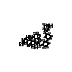 CCc1nc2c(cnn2CC)c(NC2CCOCC2)c1CNC(=O)Cc1cccc(-c2cccc(CN3CCNCC3)c2)c1